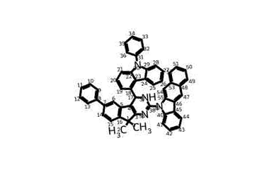 CC1(C)C2=C(c3cc(-c4ccccc4)ccc31)C(c1cccc3c1c1ccccc1n3-c1ccccc1)NC(n1c3ccccc3c3cc4ccccc4cc31)=N2